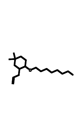 C=CCC1CC(C)(C)CCC1OCCCCCCCC